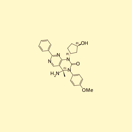 COc1ccc(N2C(=O)N([C@@H]3CC[C@@H](O)C3)c3nc(-c4ccccc4)ncc3[C@@]2(C)N)cc1